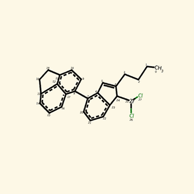 CCCCC1=Cc2c(-c3ccc4c5c(cccc35)CC4)cccc2[CH]1[Zr]([Cl])[Cl]